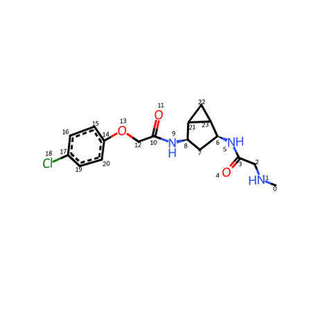 CNCC(=O)N[C@H]1C[C@@H](NC(=O)COc2ccc(Cl)cc2)C2CC21